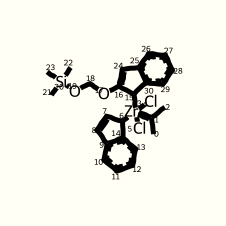 C[C](C)=[Zr]([Cl])([Cl])([CH]1C=Cc2ccccc21)[CH]1C(OCO[Si](C)(C)C)=Cc2ccccc21